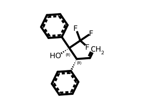 C=C[C@H](c1ccccc1)[C@@](O)(c1ccccc1)C(F)(F)F